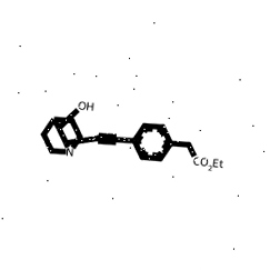 CCOC(=O)Cc1ccc(C#CC2C(O)C3CCN2CC3)cc1